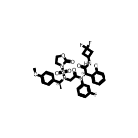 COc1ccc([C@H](C)N(CC(=O)N(c2cccc(F)c2)[C@H](C(=O)NC2CC(F)(F)C2)c2ccccc2Cl)S(=O)(=O)N2CCOC2=O)cc1